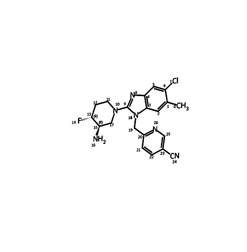 Cc1cc2c(cc1Cl)nc(N1CC[C@@H](F)[C@H](N)C1)n2Cc1ccc(C#N)cn1